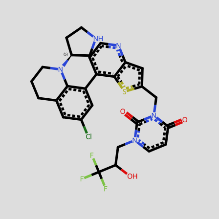 O=c1ccn(CC(O)C(F)(F)F)c(=O)n1Cc1cc2nccc(-c3cc(Cl)cc4c3N([C@H]3CCNC3)CCC4)c2s1